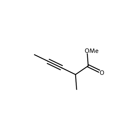 CC#CC(C)C(=O)OC